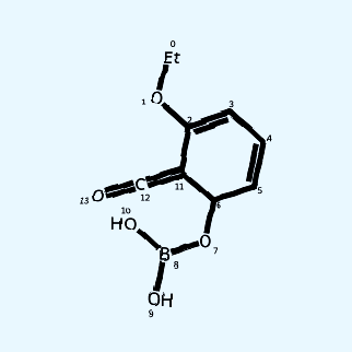 CCOC1=CC=CC(OB(O)O)C1=C=O